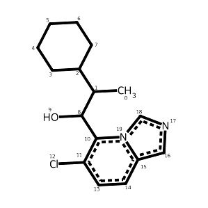 CC(C1CCCCC1)C(O)c1c(Cl)ccc2cncn12